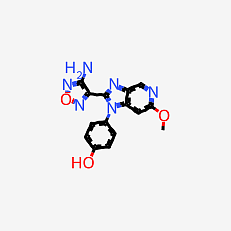 COc1cc2c(cn1)nc(-c1nonc1N)n2-c1ccc(O)cc1